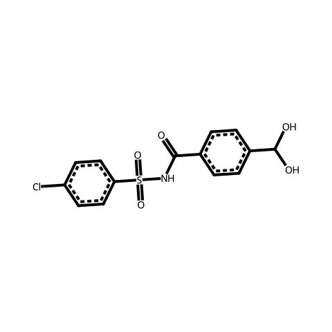 O=C(NS(=O)(=O)c1ccc(Cl)cc1)c1ccc(C(O)O)cc1